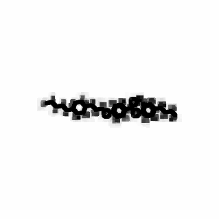 CCCCCC1CCC(CCCOc2ccc(C(=O)Oc3ccc(CCCC)cc3F)cc2)CC1